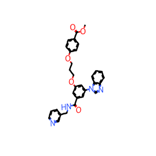 COC(=O)c1ccc(OCCCOc2cc(C(=O)NCc3cccnc3)cc(-n3cnc4ccccc43)c2)cc1